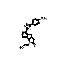 COc1ccc(-c2nc(-c3cccc4c3CC3CC(=O)N(CCO)C43)no2)cc1